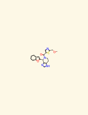 COCc1ncc(C(=O)N2CCc3[nH]cnc3[C@H]2c2cc3ccccc3o2)s1